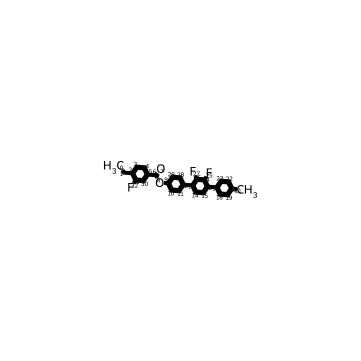 CCc1ccc(C(=O)Oc2ccc(-c3ccc(-c4ccc(C)cc4)c(F)c3F)cc2)cc1F